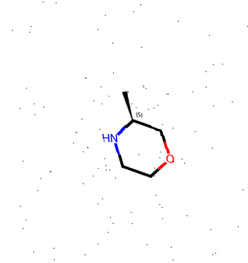 [CH2][C@H]1COCCN1